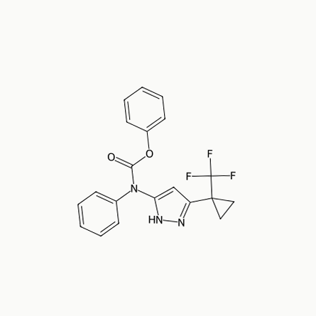 O=C(Oc1ccccc1)N(c1ccccc1)c1cc(C2(C(F)(F)F)CC2)n[nH]1